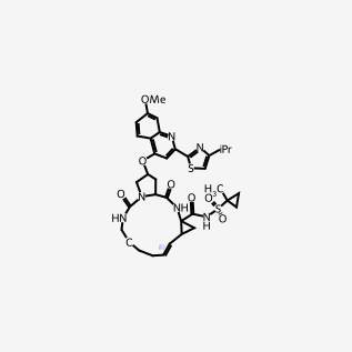 COc1ccc2c(OC3CC4C(=O)NC5(C(=O)NS(=O)(=O)C6(C)CC6)CC5/C=C/CCCCNC(=O)N4C3)cc(-c3nc(C(C)C)cs3)nc2c1